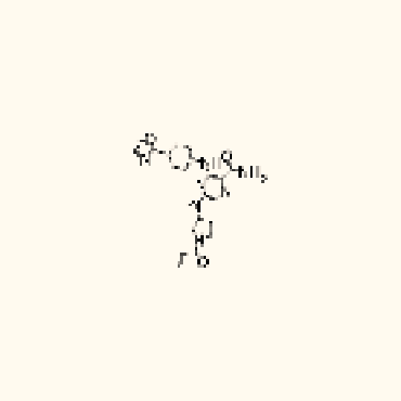 C=CC(=O)N1CCC(N(C)c2cnc(C(N)=O)c(Nc3ccc(-c4ncco4)cc3)n2)C1